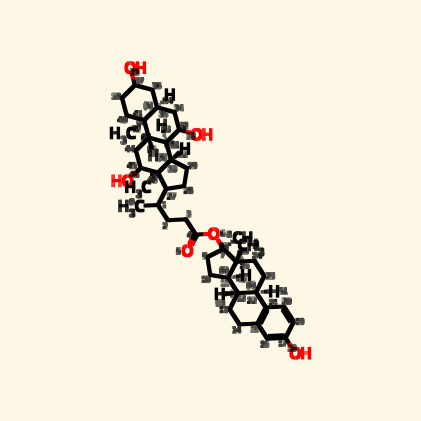 CC(CCC(=O)O[C@]1(C)CC[C@@H]2[C@H]3CCc4cc(O)ccc4[C@@H]3CC[C@]21C)C1CC[C@H]2[C@@H]3C(O)C[C@@H]4CC(O)CC[C@]4(C)[C@H]3CC(O)[C@]12C